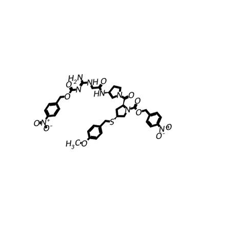 COc1ccc(CS[C@H]2C[C@@H](C(=O)N3CC[C@H](NC(=O)CNC(N)=NC(=O)OCc4ccc([N+](=O)[O-])cc4)C3)N(C(=O)OCc3ccc([N+](=O)[O-])cc3)C2)cc1